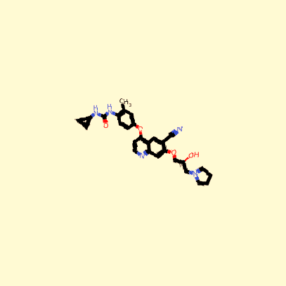 Cc1cc(Oc2ccnc3cc(OC[C@@H](O)CN4CCCC4)c(C#N)cc23)ccc1NC(=O)NC1CC1